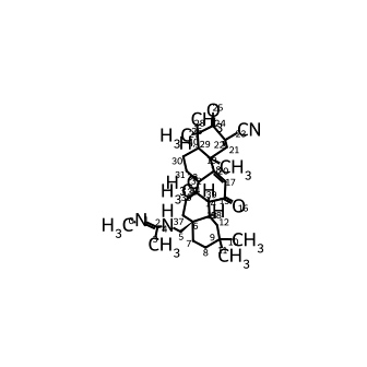 C/N=C(\C)NC[C@]12CCC(C)(C)C[C@H]1[C@H]1C(=O)C=C3[C@@]4(C)C=C(C#N)C(=O)C(C)(C)[C@@H]4CC[C@@]3(C)[C@]1(C)CC2